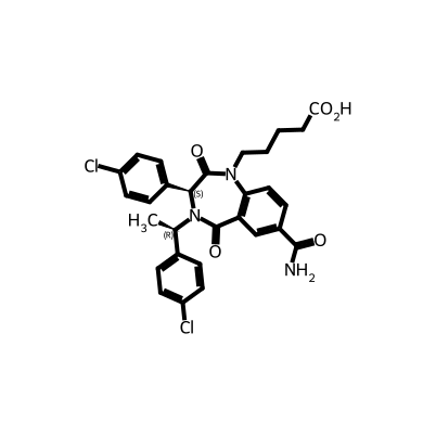 C[C@H](c1ccc(Cl)cc1)N1C(=O)c2cc(C(N)=O)ccc2N(CCCCC(=O)O)C(=O)[C@@H]1c1ccc(Cl)cc1